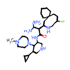 CN1CCN(C2C(NC(=O)C(C(N)N)C3CC4(CCCCC4)CCC(F)CN3)CNCC2C2CC2)CC1